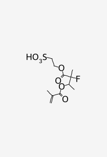 C=C(C)C(=O)OC(C)C(C)(F)C(=O)OCCS(=O)(=O)O